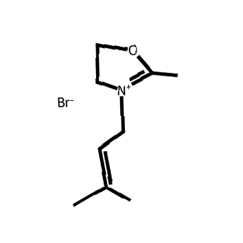 CC(C)=CC[N+]1=C(C)OCC1.[Br-]